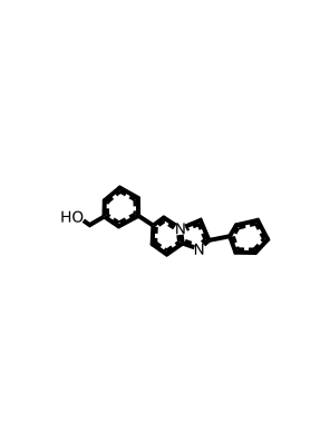 OCc1cccc(-c2ccc3nc(-c4ccccc4)cn3c2)c1